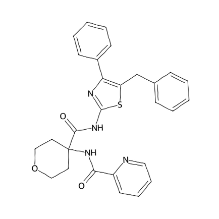 O=C(NC1(C(=O)Nc2nc(-c3ccccc3)c(Cc3ccccc3)s2)CCOCC1)c1ccccn1